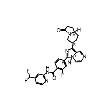 N[N+]12C=CN=CC1=C([C@@H]1CC[C@H]3CCC(=O)N3C1)N=C2c1ccc(C(=O)Nc2cc(C(F)F)ccn2)c(F)c1